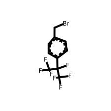 FC(F)(F)C(F)(c1ccc(CBr)cc1)C(F)(F)F